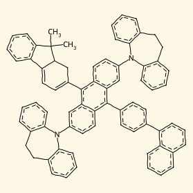 CC1(C)c2ccccc2C2=CC=C(c3c4cc(N5c6ccccc6CCc6ccccc65)ccc4c(-c4ccc(-c5cccc6ccccc56)cc4)c4cc(N5c6ccccc6CCc6ccccc65)ccc34)CC21